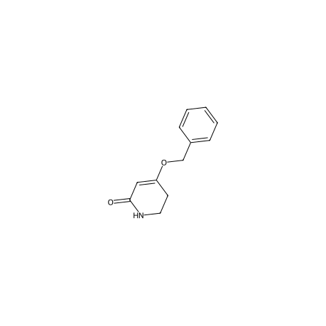 O=C1C=C(OCc2ccccc2)CCN1